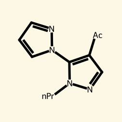 CCCn1ncc(C(C)=O)c1-n1cccn1